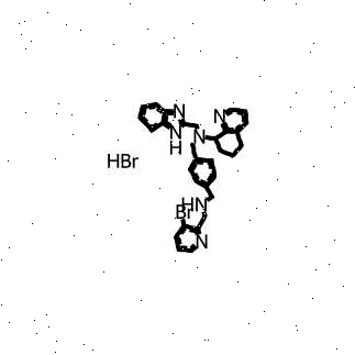 Br.Brc1cccnc1CNCc1ccc(CN(Cc2nc3ccccc3[nH]2)C2CCCc3cccnc32)cc1